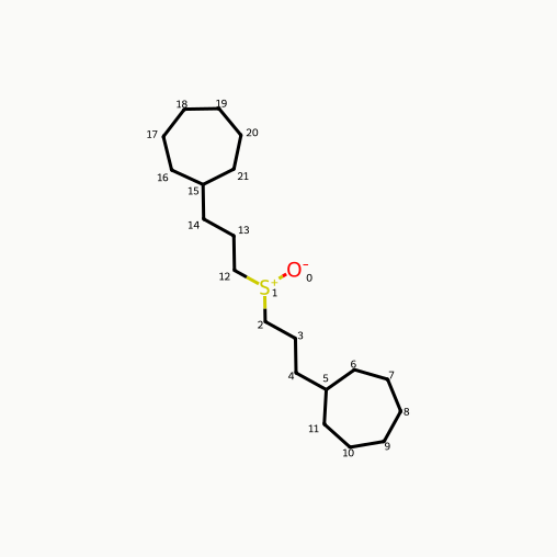 [O-][S+](CCCC1CCCCCC1)CCCC1CCCCCC1